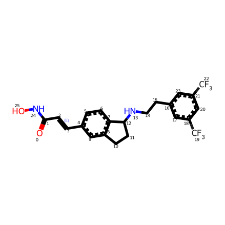 O=C(/C=C/c1ccc2c(c1)CCC2NCCc1cc(C(F)(F)F)cc(C(F)(F)F)c1)NO